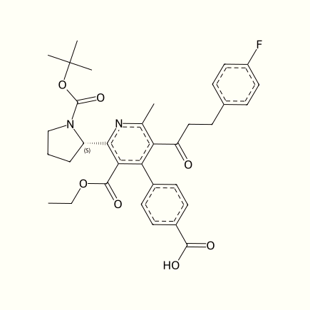 CCOC(=O)c1c([C@@H]2CCCN2C(=O)OC(C)(C)C)nc(C)c(C(=O)CCc2ccc(F)cc2)c1-c1ccc(C(=O)O)cc1